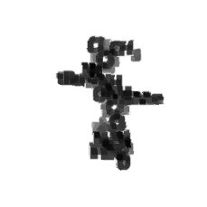 CSc1cc(Oc2ccnc3[nH]c(=O)cnc23)ccc1NC(=O)Nc1cc(C(C)(C)C)nn1-c1ccc(C)c(Cl)c1